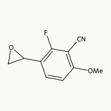 COc1ccc(C2CO2)c(F)c1C#N